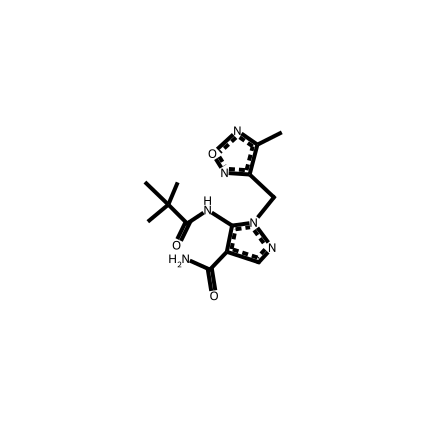 Cc1nonc1Cn1ncc(C(N)=O)c1NC(=O)C(C)(C)C